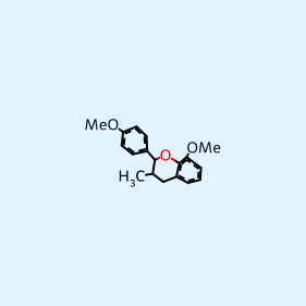 COc1ccc(C2Oc3c(cccc3OC)CC2C)cc1